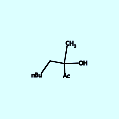 CCCCCC(C)(O)C(C)=O